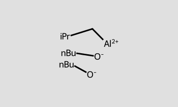 CC(C)[CH2][Al+2].CCCC[O-].CCCC[O-]